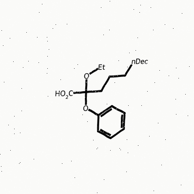 CCCCCCCCCCCCCC(OCC)(Oc1ccccc1)C(=O)O